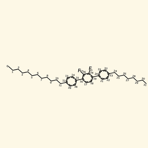 CCCCCCCCCCCCc1ccc(-c2ccc(-c3ccc(CCCCCCCC)cc3)c(F)c2F)cc1